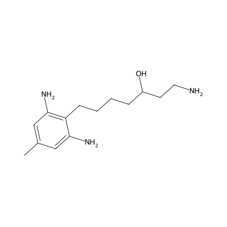 Cc1cc(N)c(CCCCC(O)CCN)c(N)c1